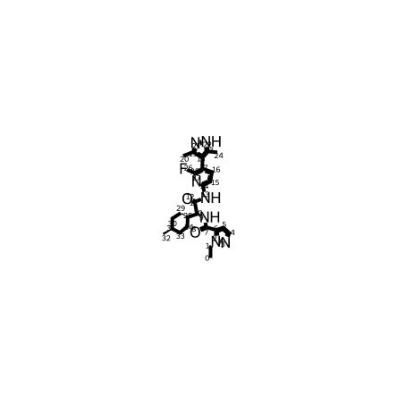 CCn1nccc1C(=O)N[C@H](C(=O)Nc1ccc(-c2c(C)n[nH]c2C)c(F)n1)[C@H]1CC[C@H](C)CC1